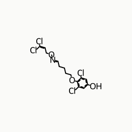 Oc1cc(Cl)c(OCCCC/C=N/OCC=C(Cl)Cl)c(Cl)c1